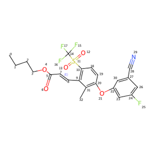 CCCCOC(=O)/C=C/c1c(S(=O)(=O)C(F)(F)F)ccc(Oc2cc(F)cc(C#N)c2)c1C